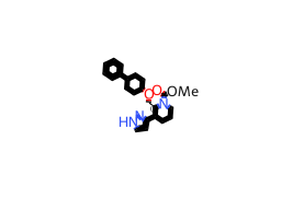 COC(=O)N1CCCC(c2cc[nH]n2)[C@@H]1COC1CCC(c2ccccc2)CC1